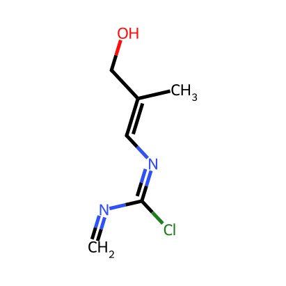 C=N/C(Cl)=N\C=C(/C)CO